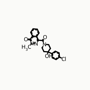 Cn1nc(C(=O)N2CCC(O)(c3ccc(Cl)cc3)CC2)c2ccccc2c1=O